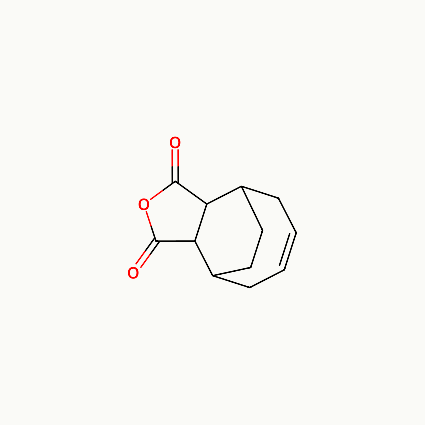 O=C1OC(=O)C2C3C/C=C\CC(CC3)C12